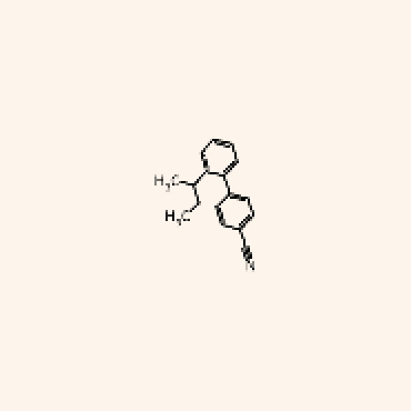 CCC(C)c1ccccc1-c1ccc(C#N)cc1